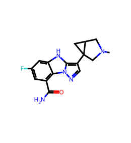 CN1CC2CC2(c2cnn3c2[nH]c2cc(F)cc(C(N)=O)c23)C1